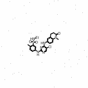 CCNS(=O)(=O)c1cc(Nc2ncc(Cl)c(Nc3ccc4c(c3)CCC(=O)N4C)n2)ccc1C